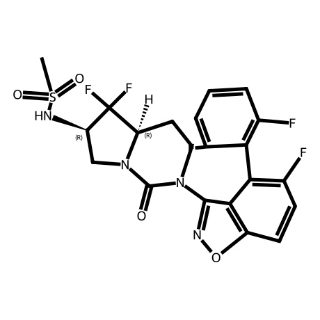 CS(=O)(=O)N[C@@H]1CN2C(=O)N(c3noc4ccc(F)c(-c5c(F)cccc5F)c34)CC[C@@H]2C1(F)F